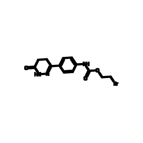 O=C1CCC(c2ccc(NC(=O)OCCBr)cc2)=NN1